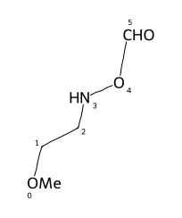 COCCNOC=O